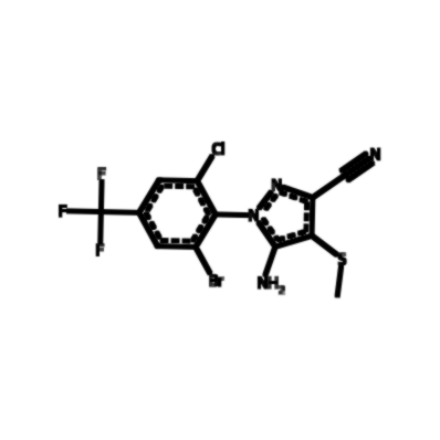 CSc1c(C#N)nn(-c2c(Cl)cc(C(F)(F)F)cc2Br)c1N